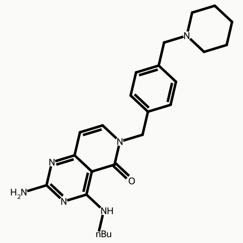 CCCCNc1nc(N)nc2ccn(Cc3ccc(CN4CCCCC4)cc3)c(=O)c12